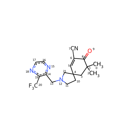 CC1(C)CC2(C=C(C#N)C1=O)CCN(Cc1nccnc1C(F)(F)F)C2